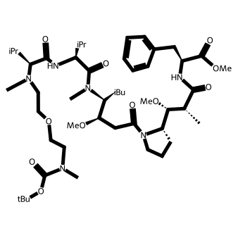 CC[C@H](C)[C@@H]([C@@H](CC(=O)N1CCC[C@H]1[C@H](OC)[C@@H](C)C(=O)N[C@@H](Cc1ccccc1)C(=O)OC)OC)N(C)C(=O)[C@@H](NC(=O)[C@H](C(C)C)N(C)CCOCCN(C)C(=O)OC(C)(C)C)C(C)C